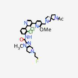 COc1nc(-c2ccnc(-c3cccc(NC(=O)c4nc5c(n4C)CCN(CCCF)C5)c3Cl)c2Cl)ccc1CN1CC[C@@]2(CCN(C(C)=O)C2)C1